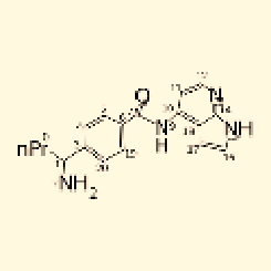 CCCC(N)c1ccc(C(=O)Nc2ccnc3[nH]ccc23)cc1